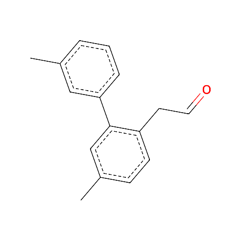 Cc1cccc(-c2cc(C)ccc2CC=O)c1